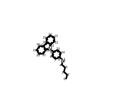 CCCCC[N]c1ccc(-n2c3ccccc3c3ccccc32)cc1